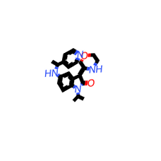 CC(Nc1ccc2c(c1)/C(=C1\COCCN1)C(=O)N2C(C)C)c1ccncc1